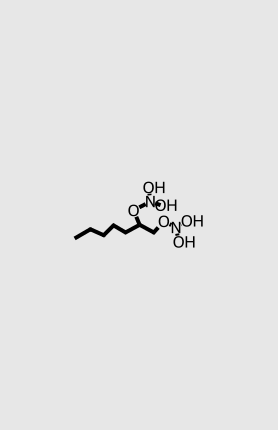 CCCCCC(CON(O)O)ON(O)O